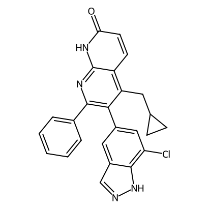 O=c1ccc2c(CC3CC3)c(-c3cc(Cl)c4[nH]ncc4c3)c(-c3ccccc3)nc2[nH]1